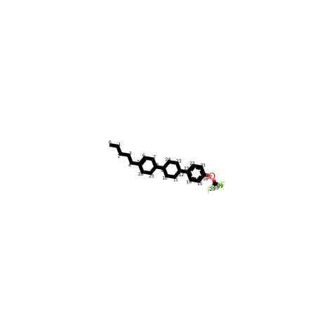 CCCCCC1=CCC(C2CCC(c3ccc(OC(F)F)cc3)CC2)CC1